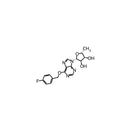 C[C@H]1O[C@@H](n2cnc3c(OCc4ccc(F)cc4)ncnc32)[C@H](O)[C@@H]1O